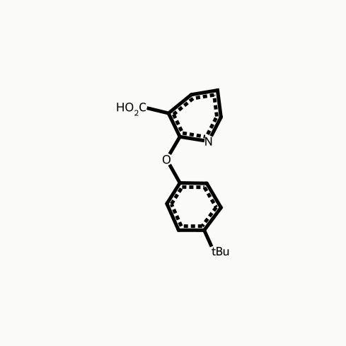 CC(C)(C)c1ccc(Oc2ncccc2C(=O)O)cc1